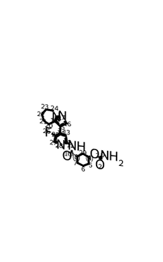 NC(=O)O[C@@H]1CCC[C@H](C(=O)Nc2cc(-c3cnn4c3CCCCC4)c(F)cn2)C1